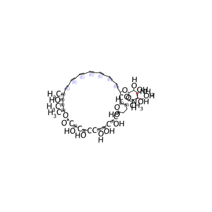 CC1OC(OC2/C=C/C=C/C=C/C=C/C=C/C=C/C=C/[C@H](C)[C@@H](O)[C@@H](C)[C@H](C)OC(=O)C[C@H](O)C[C@H](O)CC[C@@H](O)[C@H](O)C[C@H](O)C[C@]3(O)CC[C@@H](C(=O)NC(CO)CO)[C@H](C2)O3)C(O)C(N)C1O